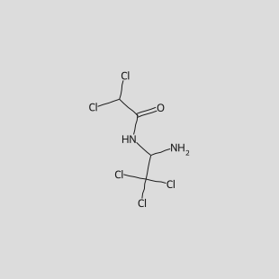 NC(NC(=O)C(Cl)Cl)C(Cl)(Cl)Cl